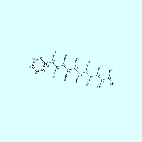 FC(F)C(F)C(F)C(F)C(F)C(F)C(F)C(F)C(F)C(F)C(F)[n+]1ccccc1